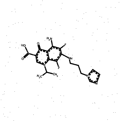 CC(C)n1cc(C(=O)O)c(=O)c2c(N)c(F)c(NCCCn3ccnc3)c(F)c21